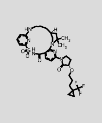 CC1(C)C[C@@H]2CCCNc3cccc(n3)S(=O)(=O)NC(=O)c3ccc(N4CC[C@H](OCCCC5(C(F)(F)F)CC5)C4=O)nc3N1C2